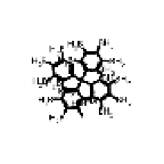 Bc1c(B)c(B)c(C(c2c(B)c(B)c(B)c(B)c2B)(c2c(B)c(B)c(B)c(B)c2B)c2c(B)c(B)c(B)c(C)c2B)c(B)c1B